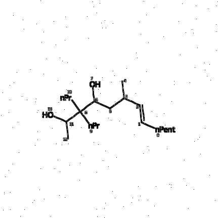 CCCCCC=CC(C)CC(O)C(CCC)(CCC)C(C)O